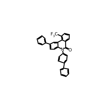 O=c1c2cccc(C(F)(F)F)c2c2cc(-c3ccccc3)ccc2n1-c1ccc(-c2ccccc2)cc1